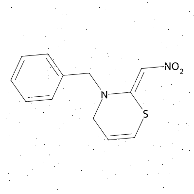 O=[N+]([O-])C=C1SC=CCN1Cc1ccccc1